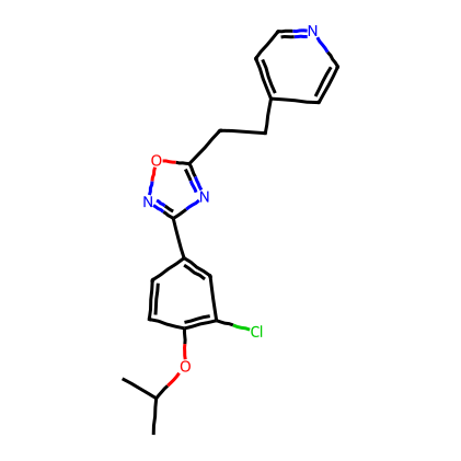 CC(C)Oc1ccc(-c2noc(CCc3ccncc3)n2)cc1Cl